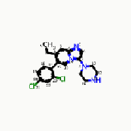 CCc1cc2ncc(N3CCNCC3)n2cc1-c1ccc(Cl)cc1Cl